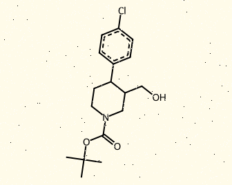 CC(C)(C)OC(=O)N1CCC(c2ccc(Cl)cc2)C(CO)C1